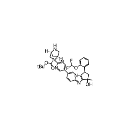 CC(C)(C)OC(=O)[N+]1(c2ncc(-c3ccc4nc5c(n4c3)[C@@H](c3ccccc3OC(F)F)CC5(C)O)cn2)C[C@@H]2C[C@H]1CN2